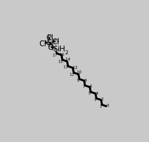 CCCCCCCCCCCCCCCCCC[SiH2]O[Si](Cl)(Cl)Cl